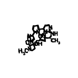 Cc1cc([C@@H](C)Nc2nccc(-c3cccc(-c4cc([C@]5(O)CCN(C)C5=O)on4)n3)n2)no1